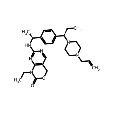 C=CCN1CCN([C@H](CC)c2ccc([C@H](C)Nc3ncc4c(n3)N(CC)C(=O)OC4)cc2)CC1